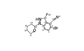 N#Cc1c(Br)ccc2c1C(F)NN2C1CCCCO1